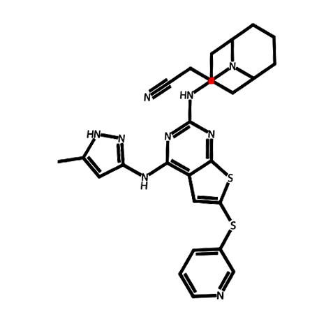 Cc1cc(Nc2nc(NC3CC4CCCC(C3)N4CCC#N)nc3sc(Sc4cccnc4)cc23)n[nH]1